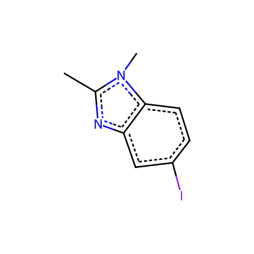 Cc1nc2cc(I)ccc2n1C